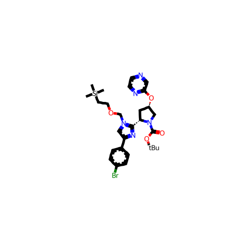 CC(C)(C)OC(=O)N1C[C@@H](Oc2cnccn2)C[C@H]1c1nc(-c2ccc(Br)cc2)cn1COCC[Si](C)(C)C